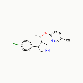 CC(Oc1ccc(C#N)cn1)C1CNCC1c1ccc(Cl)cc1